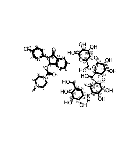 CN1CCN(C(=O)OC2c3nccnc3C(=O)N2c2ccc(Cl)cn2)CC1.C[C@H]1O[C@H](O[C@H]2[C@H](O)[C@@H](O)[C@@H](O[C@H]3[C@H](O)[C@@H](O)[C@H](O)O[C@@H]3CO)O[C@@H]2CO)[C@H](O)[C@@H](O)[C@@H]1N[C@H]1C=C(CO)[C@@H](O)[C@H](O)[C@H]1O